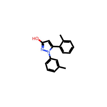 Cc1cccc(-n2nc(O)cc2-c2ccccc2C)c1